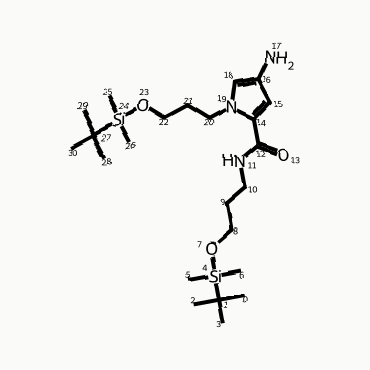 CC(C)(C)[Si](C)(C)OCCCNC(=O)c1cc(N)cn1CCCO[Si](C)(C)C(C)(C)C